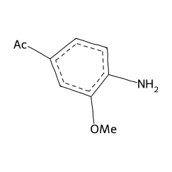 COc1cc(C(C)=O)ccc1N